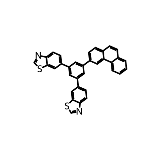 c1ccc2c(c1)ccc1ccc(-c3cc(-c4ccc5ncsc5c4)cc(-c4ccc5ncsc5c4)c3)cc12